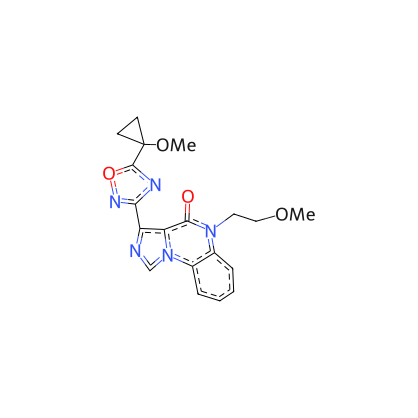 COCCn1c(=O)c2c(-c3noc(C4(OC)CC4)n3)ncn2c2ccccc21